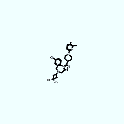 Cc1nc(N2CCC(c3nnc4n3-c3ccc(Cl)cc3CN(C3CC(O)(C(F)(F)F)C3)C4)CC2)ccc1F